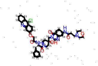 O=C(CCN1CCOCC1)Nc1ccc2c(=O)n(CC3(O)CCN(C(=O)[C@H](Cc4ccccc4)NC(=O)COc4ccc5c(Cl)c6c(nc5c4)CCCC6)CC3)cnc2c1